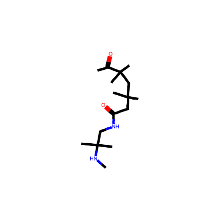 CNC(C)(C)CNC(=O)CC(C)(C)CC(C)(C)C(C)=O